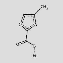 CCOC(=O)c1nc(C)co1